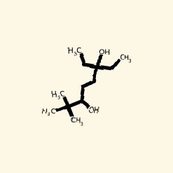 CCC(O)(CC)CCC(O)C(C)(C)C